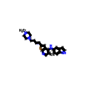 CN1CCN(CC/C=C/c2cc3c(Nc4ccc5[nH]ccc5c4)c(C#N)cnc3s2)CC1